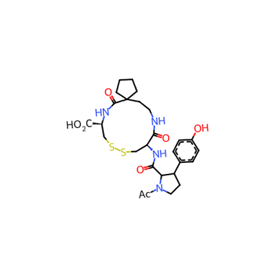 CC(=O)N1CCC(c2ccc(O)cc2)C1C(=O)N[C@H]1CSSC[C@@H](C(=O)O)NC(=O)C2(CCCC2)CCNC1=O